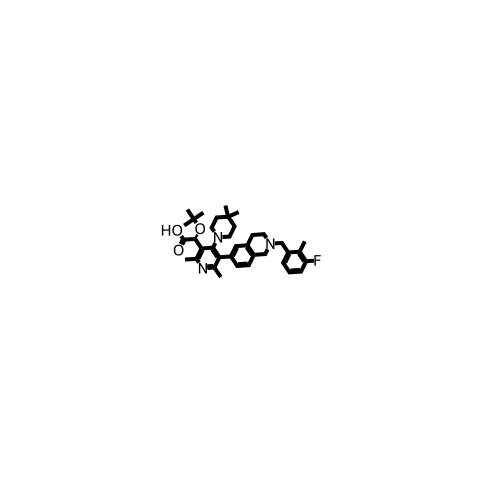 Cc1nc(C)c([C@H](OC(C)(C)C)C(=O)O)c(N2CCC(C)(C)CC2)c1-c1ccc2c(c1)CCN(Cc1cccc(F)c1C)C2